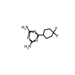 Nc1nc(N)nc(C2CCC(F)(F)CC2)n1